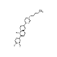 CCCCCc1ccc(-c2ccc3c(F)c(-c4ccc(F)c(F)c4)ccc3c2)cc1